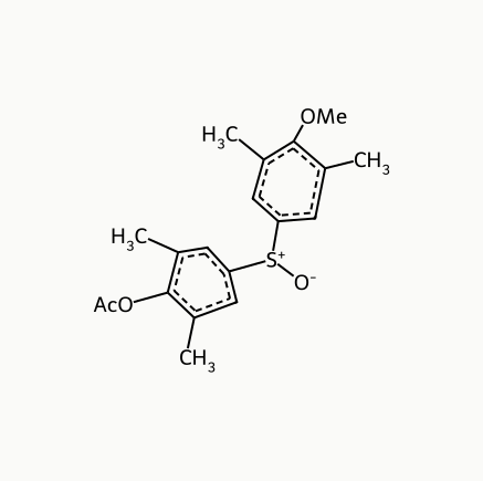 COc1c(C)cc([S+]([O-])c2cc(C)c(OC(C)=O)c(C)c2)cc1C